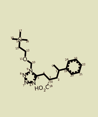 CC(C[C@@H](Cc1nnnn1COCC[Si](C)(C)C)C(=O)O)c1ccccc1